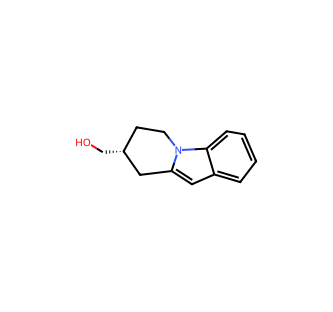 OC[C@@H]1CCn2c(cc3ccccc32)C1